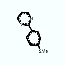 CSc1ccc(-c2ncccn2)cc1